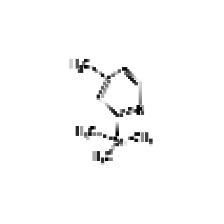 Cc1ccn[c]([Sn]([CH3])([CH3])[CH3])c1